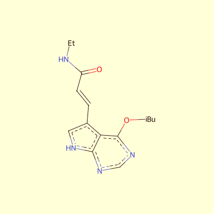 CCNC(=O)/C=C/c1c[nH]c2ncnc(OC(C)CC)c12